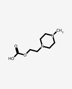 CN1CCN(CCOC(=O)O)CC1